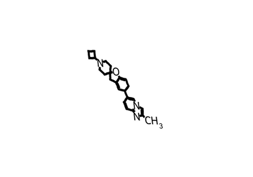 Cc1cn2cc(C3C=C4CC5(CCN(C6CCC6)CC5)OC4=CC3)ccc2n1